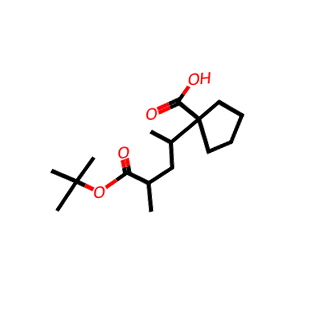 CC(CC(C)C1(C(=O)O)CCCC1)C(=O)OC(C)(C)C